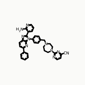 N#Cc1ccnc(N2CCCN(Cc3ccc(-n4c(-c5cccnc5N)nc5ccc(-c6ccccc6)nc54)cc3)CC2)n1